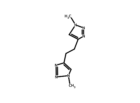 Cn1cc(CCc2cn(C)nn2)nn1